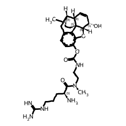 CN(CCNC(=O)Oc1ccc2c3c1O[C@H]1[C@@H](O)C=C[C@H]4[C@@H](C2)N(C)CC[C@@]341)C(=O)[C@@H](N)CCCNC(=N)N